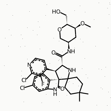 CO[C@H]1C[C@@H](NC(=O)[C@@H]2NC3(CCC(C)(C)CC3)[C@@]3(C(=O)Nc4cc(Cl)ccc43)[C@H]2c2ccnc(Cl)c2F)CO[C@@H]1CO